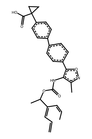 C=C/C=C(\C=C/C)C(C)OC(=O)Nc1c(C)noc1-c1ccc(-c2ccc(C3(C(=O)O)CC3)cc2)cc1